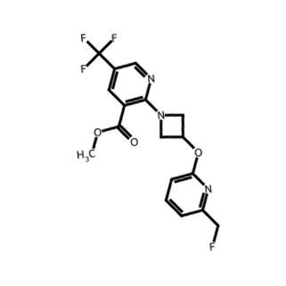 COC(=O)c1cc(C(F)(F)F)cnc1N1CC(Oc2cccc(CF)n2)C1